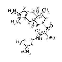 CCCCN(C(=O)NCCN(C)C)C(=O)[C@@H]1C[C@@H]2Cc3c(sc(N)c3N)C[C@H]2N(C)C1